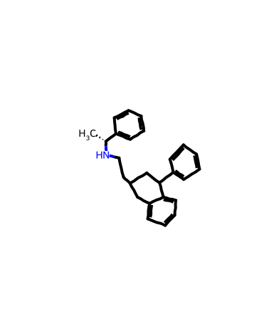 C[C@@H](NCCC1Cc2ccccc2C(c2ccccc2)C1)c1ccccc1